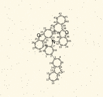 c1cc(-c2ccc3sc4ccccc4c3c2)cc(N(c2cccc3oc4ccccc4c23)c2cccc3oc4c5ccccc5ccc4c23)c1